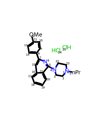 CCCN1CCN(c2nc(-c3ccc(OC)cc3)cc3ccccc23)CC1.Cl.Cl